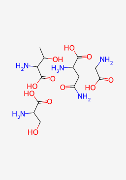 CC(O)C(N)C(=O)O.NC(=O)CC(N)C(=O)O.NC(CO)C(=O)O.NCC(=O)O